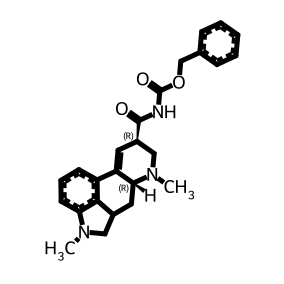 CN1CC2C[C@@H]3C(=C[C@@H](C(=O)NC(=O)OCc4ccccc4)CN3C)c3cccc1c32